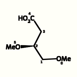 COC[C@H](CC(=O)O)OC